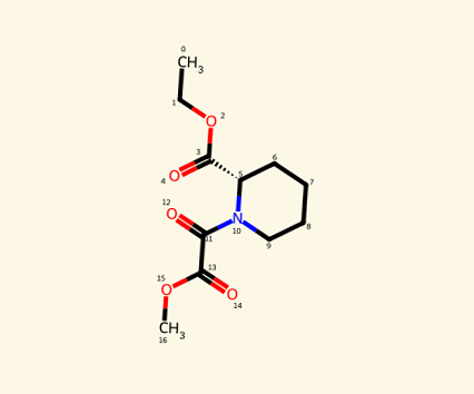 CCOC(=O)[C@@H]1CCCCN1C(=O)C(=O)OC